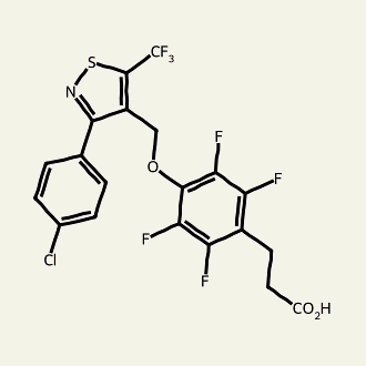 O=C(O)CCc1c(F)c(F)c(OCc2c(-c3ccc(Cl)cc3)nsc2C(F)(F)F)c(F)c1F